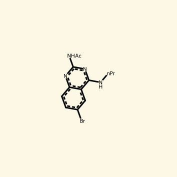 CCCNc1nc(NC(C)=O)nc2ccc(Br)cc12